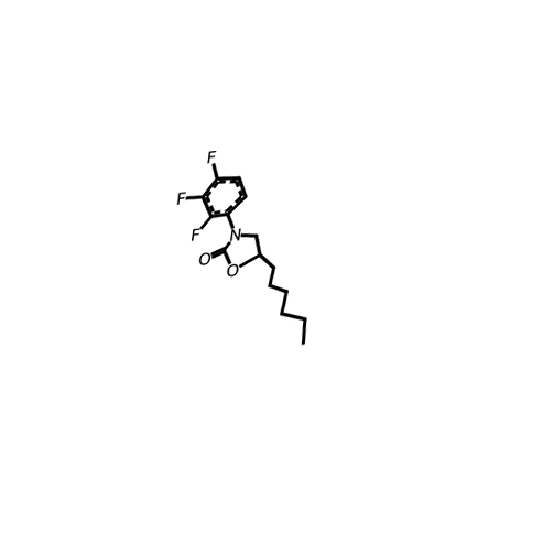 CCCCCCC1CN(c2ccc(F)c(F)c2F)C(=O)O1